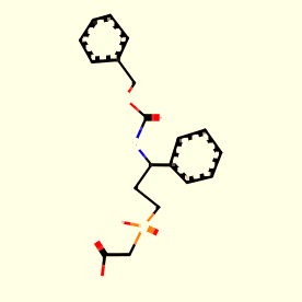 O=C(O)CP(=O)(O)CCC(NC(=O)OCc1ccccc1)c1ccccc1